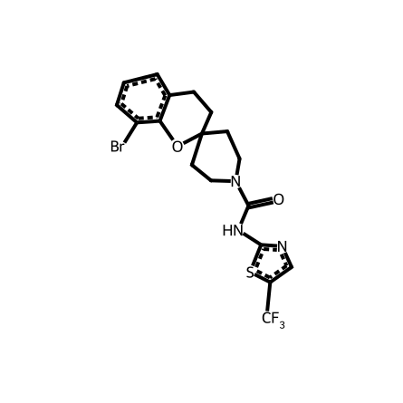 O=C(Nc1ncc(C(F)(F)F)s1)N1CCC2(CCc3cccc(Br)c3O2)CC1